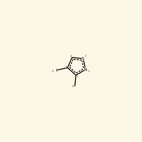 Cc1nscc1I